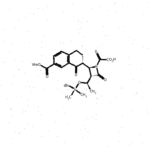 COC(=O)c1ccc2c(c1)C(=O)[C@@H]([C@@H]1[C@@H]([C@@H](C)O[Si](C)(C)C(C)(C)C)C(=O)N1C(=O)C(=O)O)CC2